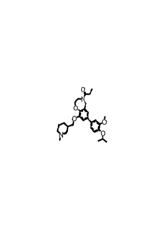 CCC(=O)N1CCOc2c(cc(-c3ccc(OC(C)C)c(OC)c3)cc2OCC2CCCN(C)C2)C1